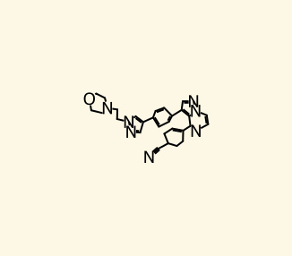 N#CC1CC=C(c2nccn3ncc(-c4ccc(-c5cnn(CCN6CCOCC6)c5)cc4)c23)CC1